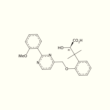 COc1ccccc1-c1nccc(COc2ccccc2C(C)(C)[C@@H](O)C(=O)O)n1